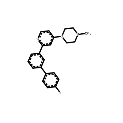 CN1CCN(c2ccnc(-c3cccc(-c4ccc(F)cc4)c3)c2)CC1